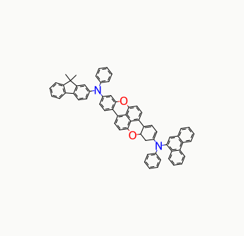 CC1(C)c2ccccc2-c2ccc(N(c3ccccc3)c3ccc4c(c3)Oc3ccc5c6c(ccc-4c36)OC3CC(N(c4ccccc4)c4cc6ccccc6c6ccccc46)=CC=C53)cc21